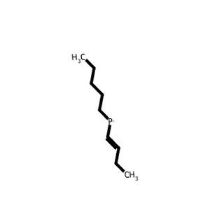 CCC=C[P]CCCCC